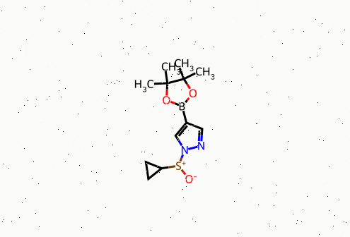 CC1(C)OB(c2cnn([S+]([O-])C3CC3)c2)OC1(C)C